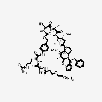 CC[C@H](C)C([C@@H](CC(=O)N1CCC[C@H]1[C@H](OC)[C@@H](C)C(=O)N[C@@H](Cc1ccccc1)c1nccs1)OC)N(C)C(=O)[C@@H](NC(=O)[C@H](C(C)C)N(C)C(=O)OCc1ccc(NC(=O)[C@H](CCCNC(N)=O)NC(=O)[C@@H](NC(=O)CCOCCON)C(C)C)cc1)C(C)C